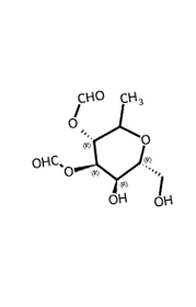 CC1O[C@H](CO)[C@@H](O)[C@@H](OC=O)[C@@H]1OC=O